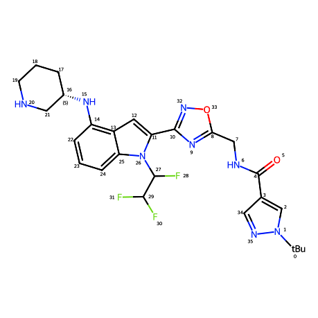 CC(C)(C)n1cc(C(=O)NCc2nc(-c3cc4c(N[C@H]5CCCNC5)cccc4n3C(F)C(F)F)no2)cn1